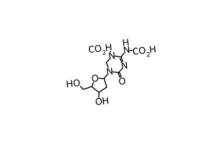 O=C(O)NC1=NC(=O)N(C2CC(O)C(CO)O2)CN1C(=O)O